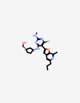 CCCc1cc2cc(-c3c(Cl)nc(NC)nc3N[C@H]3CC[C@@H](CO)C3)oc2c(C)n1